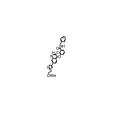 COCCn1cc(-c2ccc3c(Oc4cccc(C(=O)NCc5ccncc5)c4C)ccnc3c2)cn1